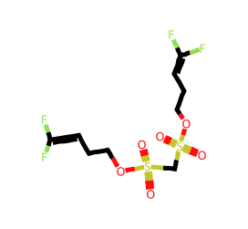 O=S(=O)(CS(=O)(=O)OCCC=C(F)F)OCCC=C(F)F